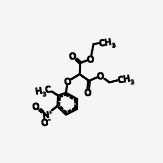 CCOC(=O)C(Oc1cccc([N+](=O)[O-])c1C)C(=O)OCC